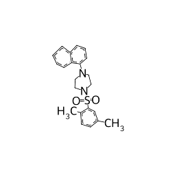 Cc1ccc(C)c(S(=O)(=O)N2CCN(c3cccc4ccccc34)CC2)c1